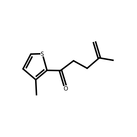 C=C(C)CCC(=O)c1sccc1C